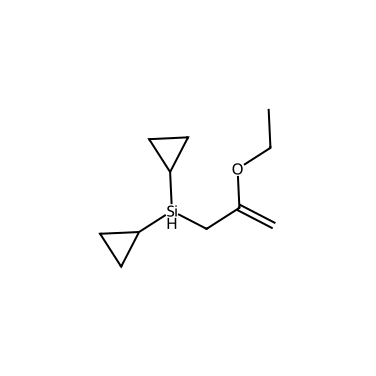 C=C(C[SiH](C1CC1)C1CC1)OCC